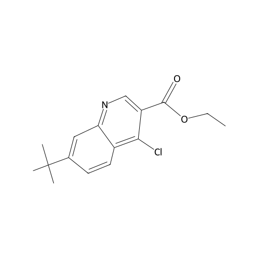 CCOC(=O)c1cnc2cc(C(C)(C)C)ccc2c1Cl